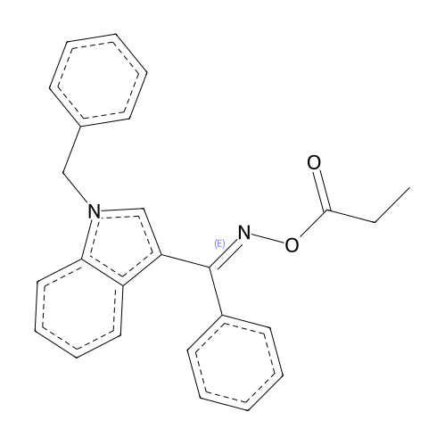 CCC(=O)O/N=C(\c1ccccc1)c1cn(Cc2ccccc2)c2ccccc12